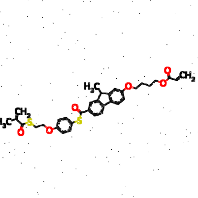 C=CC(=O)OCCCCOc1ccc2c(c1)C(C)c1cc(C(=O)Sc3ccc(OCCSC(=O)C(=C)C)cc3)ccc1-2